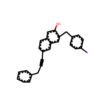 Oc1cc2ccc(C#CCc3ccccc3)cc2cc1Cc1ccc(I)cc1